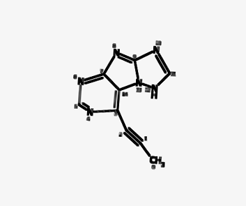 CC#Cc1ncnc2nc3nc[nH]n3c12